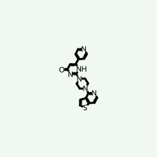 O=c1cc(-c2ccncc2)[nH]c(N2CCN(c3nccc4sccc34)CC2)n1